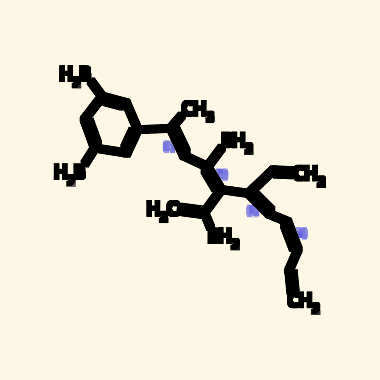 BC(=C)C(/C(C=C)=C/C=C\C=C)=C(B)\C=C(/C)c1cc(B)cc(B)c1